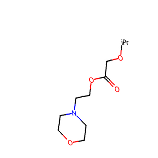 CC(C)OCC(=O)OCCN1CCOCC1